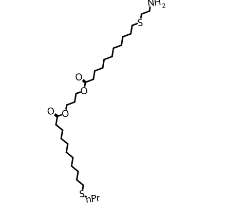 CCCSCCCCCCCCCCC(=O)OCCCOC(=O)CCCCCCCCCCSCCN